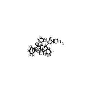 CN(C)CCc1c2n(c3ccccc13)C(C)(O)C(C(=O)c1ccccc1)C2c1ccccc1